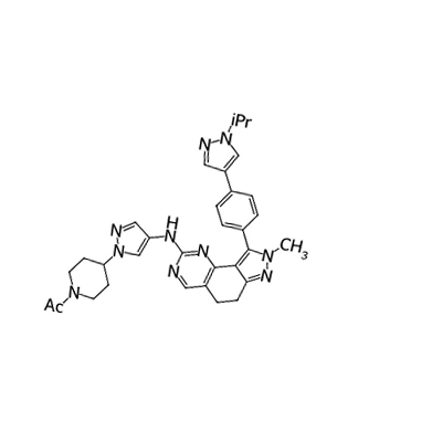 CC(=O)N1CCC(n2cc(Nc3ncc4c(n3)-c3c(nn(C)c3-c3ccc(-c5cnn(C(C)C)c5)cc3)CC4)cn2)CC1